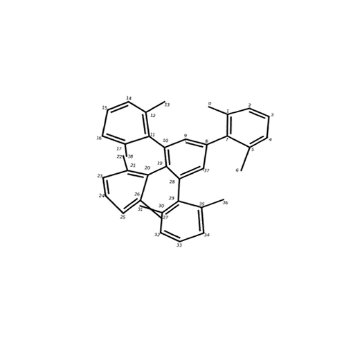 Cc1cccc(C)c1-c1[c]c(-c2c(C)cccc2C)c(-c2c(C)cccc2C)c(-c2c(C)cccc2C)[c]1